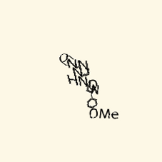 COc1ccc(-c2cc(Nc3ccnc(N4CCOCC4)n3)on2)cc1